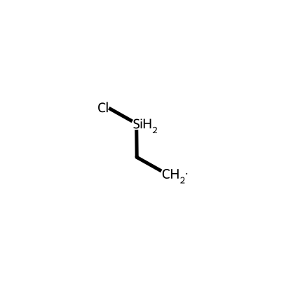 [CH2]C[SiH2]Cl